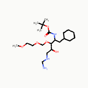 COCCOCOC(C(O)CNCN)C(CC1CCCCC1)NC(=O)OC(C)(C)C